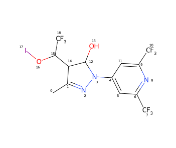 CC1=NN(c2cc(C(F)(F)F)nc(C(F)(F)F)c2)C(O)C1C(OI)C(F)(F)F